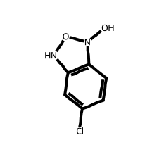 ON1ONc2cc(Cl)ccc21